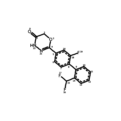 O=C1COC(c2ccc(-c3ccccc3C(F)F)c(F)c2)=NN1